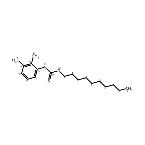 CCCCCCCCCCOC(=S)Nc1cccc(C)c1C